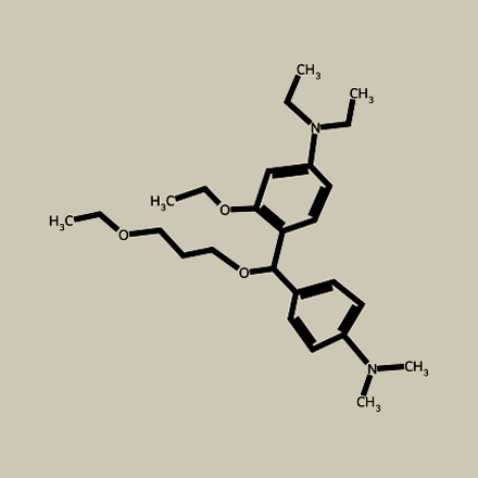 CCOCCCOC(c1ccc(N(C)C)cc1)c1ccc(N(CC)CC)cc1OCC